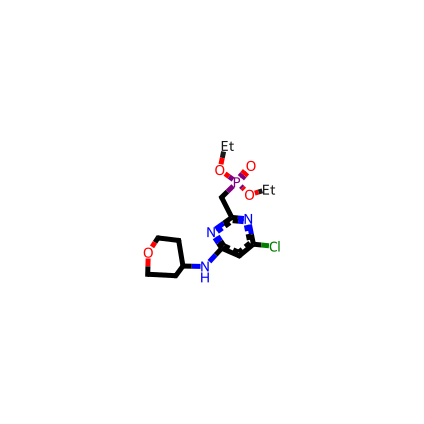 CCOP(=O)(Cc1nc(Cl)cc(NC2CCOCC2)n1)OCC